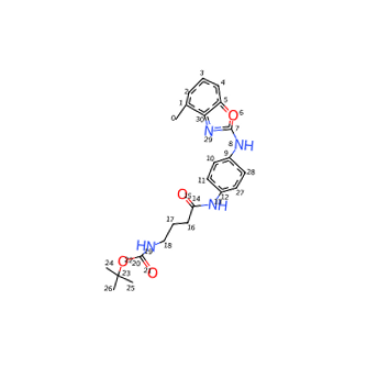 Cc1cccc2oc(Nc3ccc(NC(=O)CCCNC(=O)OC(C)(C)C)cc3)nc12